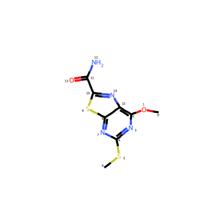 COc1nc(SC)nc2sc(C(N)=O)nc12